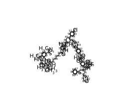 Cc1ncsc1-c1ccc([C@H](C)NC(=O)[C@@H]2CCCN2C(=O)[C@@H](NC(=O)CCCCCCC(=O)N2C[C@@H]3C[C@H]2CN3CC2(C)CCC(c3ccc(Cl)cc3)=C(CN3CCN(c4ccc(C(=O)NS(=O)(=O)c5ccc(N[C@H](CCN6CCOCC6)CSc6ccccc6)c(S(=O)(=O)C(F)(F)F)c5)cc4)CC3)C2)C(C)(C)C)cc1